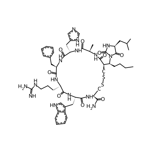 CCCC[C@@H]([C@H]1CSSC[C@@H](C(N)=O)NC(=O)[C@H](Cc2c[nH]c3ccccc23)NC(=O)[C@H](CCCNC(=N)N)NC(=O)[C@@H](Cc2ccccc2)NC(=O)[C@H](Cc2cnc[nH]2)NC(=O)[C@@H](C)NC1=O)N1C(=O)N[C@@H](CC(C)C)C1=O